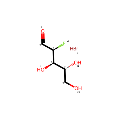 Br.O=C[C@@H](F)[C@H](O)[C@H](O)CO